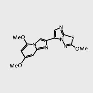 COc1cc(OC)n2cc(-c3cnc4sc(OC)nn34)nc2c1